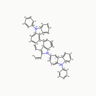 C=Cc1c(/C=C\C)n(C(/C=c2\c(=C)n(-c3ccccc3)c3ccccc23)=C/C)c2c#ccc(-c3cccc4c3c3ccccc3n4-c3ccccc3)c12